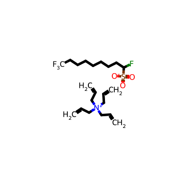 C=CC[N+](CC=C)(CC=C)CC=C.O=S(=O)([O-])C(F)CCCCCCCC(F)(F)F